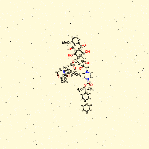 COc1cccc2c1C(=O)c1c(O)c3c(c(O)c1C2=O)C[C@@](O)(C(=O)CN1CCN(C(=O)OC(C)(C)c2ccc(-c4ccccc4)cc2)CC1)C[C@@H]3O[C@H]1C[C@H]2[C@H](O[C@@H]3[C@@H](OC)OCCN32)[C@H](C)O1